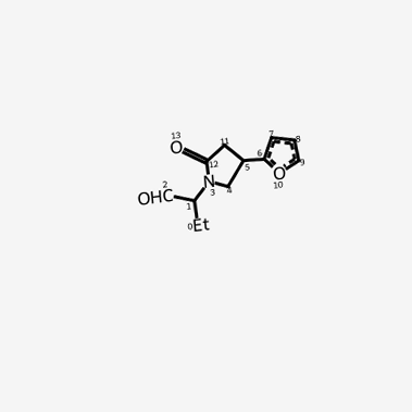 CCC(C=O)N1CC(c2ccco2)CC1=O